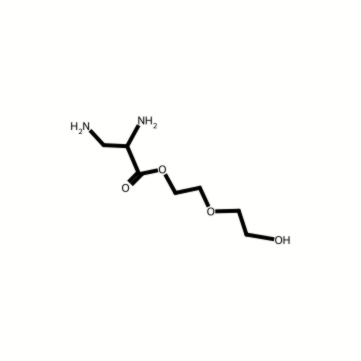 NCC(N)C(=O)OCCOCCO